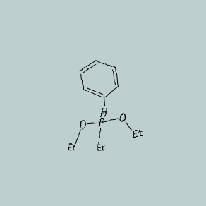 CCO[PH](CC)(OCC)c1ccccc1